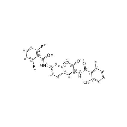 Cc1cccc(Cl)c1C(=O)N[C@@H](Cc1ccc(NC(=O)c2c(F)cccc2F)cc1)C(=O)O